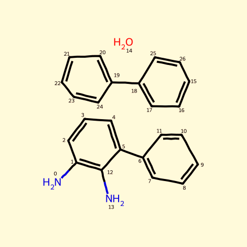 Nc1cccc(-c2ccccc2)c1N.O.c1ccc(-c2ccccc2)cc1